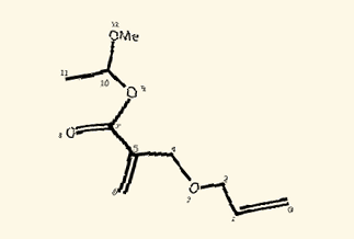 C=CCOCC(=C)C(=O)OC(C)OC